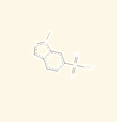 CNS(=O)(=O)c1ccc2cnn(C)c2c1